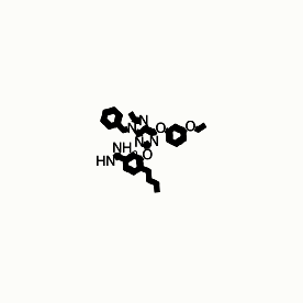 CCCCc1ccc(C(=N)N)cc1Oc1nc(Oc2cccc(OCC)c2)c2nc(C)n(Cc3ccccc3)c2n1